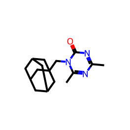 Cc1nc(C)n(CC23CC4CC(CC(C4)C2)C3)c(=O)n1